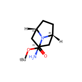 CC(C)(C)OC(=O)N1[C@@H]2CC[C@H]1C[C@H](N)C2